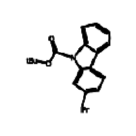 CC(C)c1ccc2c3ccccc3n(C(=O)OC(C)(C)C)c2c1